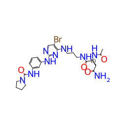 CC(=O)N[C@@H](CC(N)=O)C(=O)NCCCNc1nc(Nc2cccc(NC(=O)N3CCCC3)c2)ncc1Br